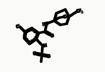 CS(=O)(=O)Nc1ccc(Cl)cc1C(=O)NC12CCC(C(F)(F)F)(CC1)CC2